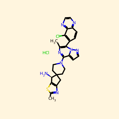 Cc1nc2c(s1)[C@@H](N)C1(CCN(c3nc(C)c(-c4ccc5nccnc5c4Cl)n4nccc34)CC1)C2.Cl